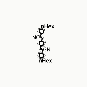 CCCCCCc1ccc(/C(C#N)=C/c2ccc(/C=C(\C#N)c3ccc(CCCCCC)cc3)cc2)cc1